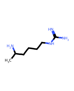 CC(N)CCCCNC(=N)N